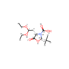 CCOC(C[C@H]1C(=O)O[C@@H](C(C)(C)C)N1C(=O)O)OCC